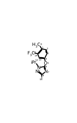 Cc1ccc(Oc2nc(I)nn2C(C)C)cc1C(F)(F)F